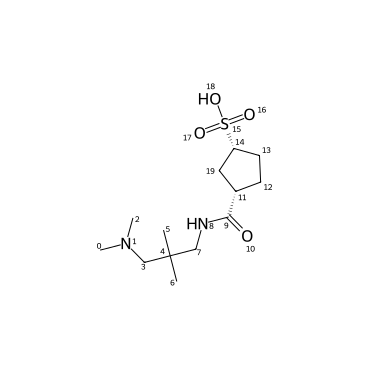 CN(C)CC(C)(C)CNC(=O)[C@H]1CC[C@@H](S(=O)(=O)O)C1